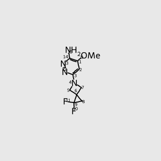 COc1cc(N2CC3(C2)CC3(F)F)nnc1N